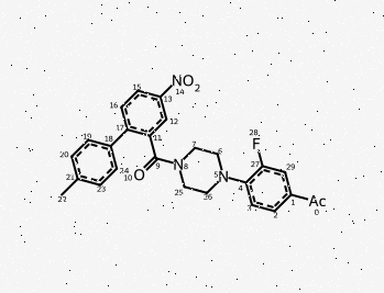 CC(=O)c1ccc(N2CCN(C(=O)c3cc([N+](=O)[O-])ccc3-c3ccc(C)cc3)CC2)c(F)c1